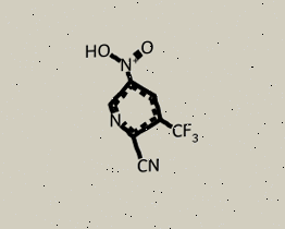 N#Cc1ncc([N+](=O)O)cc1C(F)(F)F